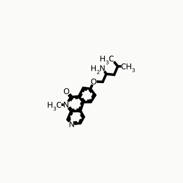 CC(C)CC(N)COc1ccc2c(c1)c(=O)n(C)c1cnccc21